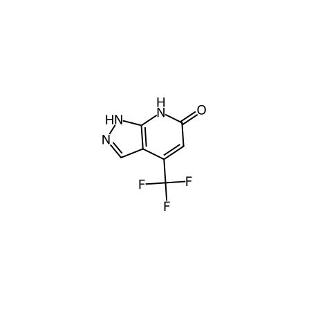 O=c1cc(C(F)(F)F)c2cn[nH]c2[nH]1